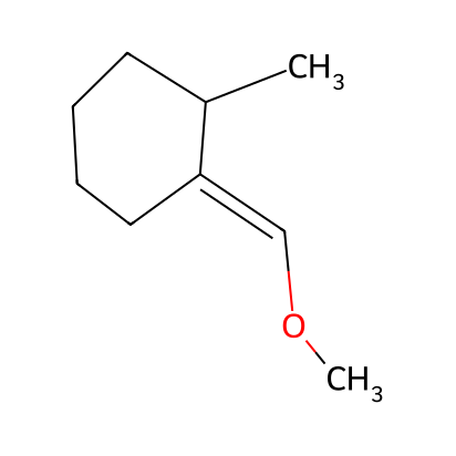 CO/C=C1\CCCCC1C